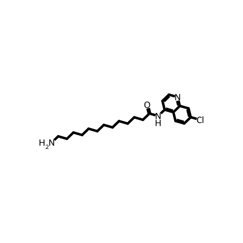 NCCCCCCCCCCCCC(=O)Nc1ccnc2cc(Cl)ccc12